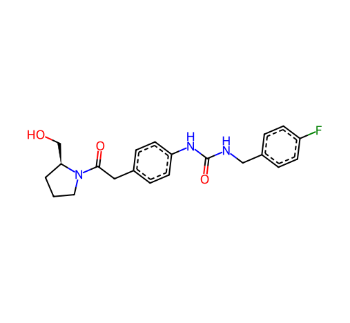 O=C(NCc1ccc(F)cc1)Nc1ccc(CC(=O)N2CCC[C@H]2CO)cc1